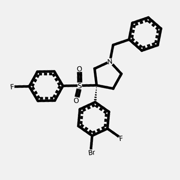 O=S(=O)(c1ccc(F)cc1)[C@]1(c2ccc(Br)c(F)c2)CCN(Cc2ccccc2)C1